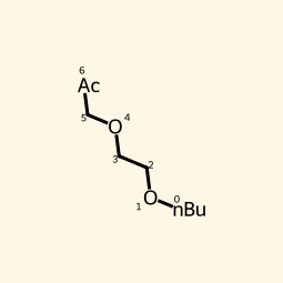 CCCCOCCOCC(C)=O